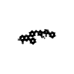 O=c1[nH]ccc2nc(-c3ccc(Cn4cc(-c5nnc(-c6ccccn6)[nH]5)c(C(F)(F)F)c4)cc3)c(-c3ccccc3)cc12